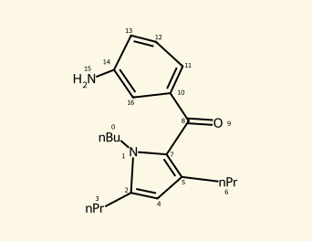 CCCCn1c(CCC)cc(CCC)c1C(=O)c1cccc(N)c1